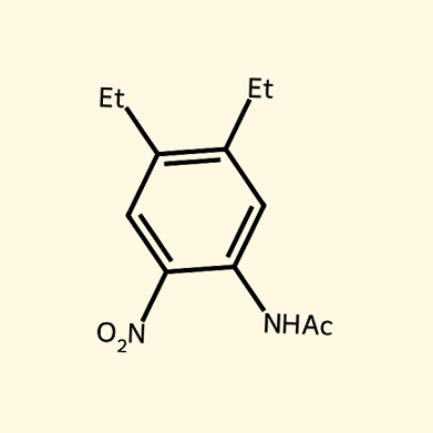 CCc1cc(NC(C)=O)c([N+](=O)[O-])cc1CC